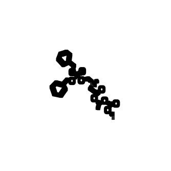 CC(OC(=O)CN(C)COP(=O)(OCc1ccccc1)OCc1ccccc1)OC(=O)OI